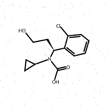 O=C(O)N(C1CC1)[C@@H](CCO)c1ccccc1Cl